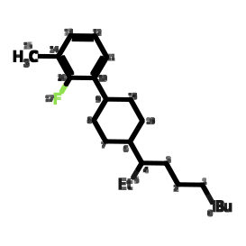 CCC(C)CCCC(CC)C1CCC(c2cccc(C)c2F)CC1